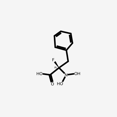 O=C(O)[C@](F)(Cc1ccccc1)N(O)O